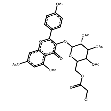 CC(=O)Oc1ccc(-c2oc3cc(OC(C)=O)cc(OC(C)=O)c3c(=O)c2OC2OC(COC(=O)CCl)C(OC(C)=O)C(OC(C)=O)[C@H]2OC(C)=O)cc1